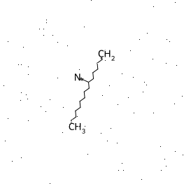 C=CCCCCC(C#N)CCCCCCCCC